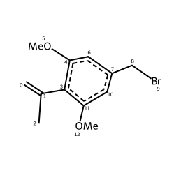 C=C(C)c1c(OC)cc(CBr)cc1OC